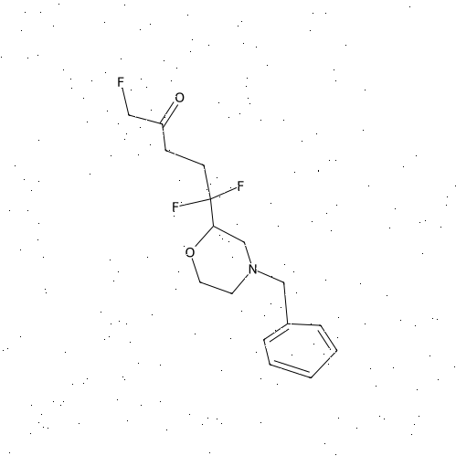 O=C(CF)CCC(F)(F)C1CN(Cc2ccccc2)CCO1